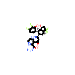 NC(=O)c1nccc2[nH]c([C@@H]3C[C@@H]4[C@@H](CCC4(F)F)[C@H]3c3ccc(F)c(F)c3O)cc(=O)c12